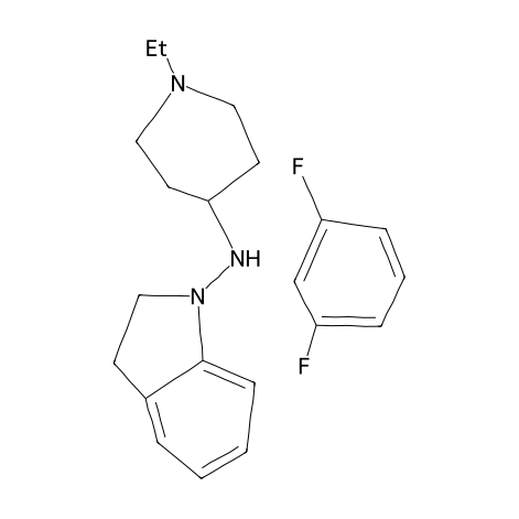 CCN1CCC(NN2CCc3ccccc32)CC1.Fc1cccc(F)c1